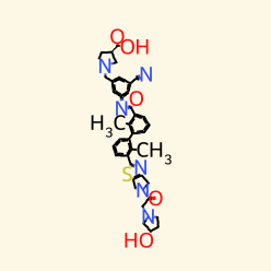 Cc1c(-c2nc3cc(CN4CC[C@@H](C(=O)O)C4)cc(C#N)c3o2)cccc1-c1cccc(-c2nc3c(s2)CN(C(=O)CN2CC[C@@H](O)C2)C3)c1C